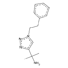 CC(C)(N)c1cn(CCc2ccccc2)nn1